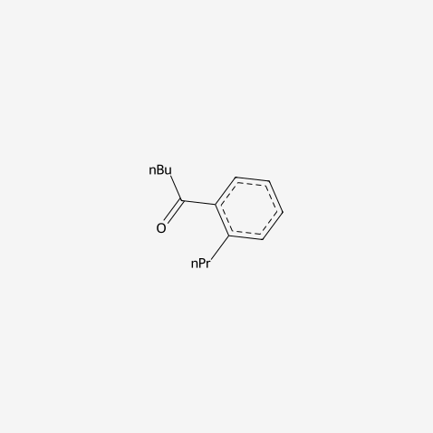 CCCCC(=O)c1ccccc1CCC